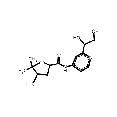 CC1CC(C(=O)Nc2ccnc(C(O)CO)c2)OC1(C)C